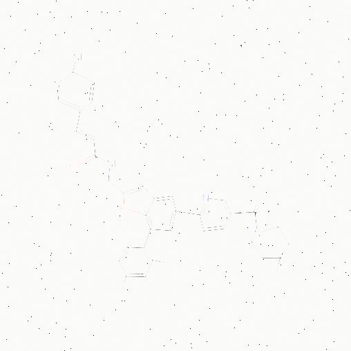 Nc1ccc(/C=C/C(=O)NCc2cc3cc(-c4ccc(C(=S)N5CCC(F)(F)CC5)cn4)cc(-c4ccc(F)cc4F)c3o2)cn1